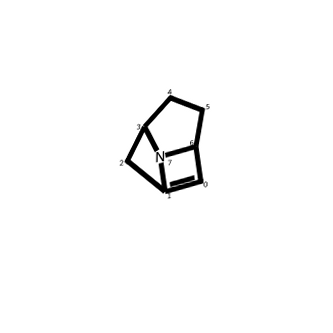 C1=C2CC3CCC1N23